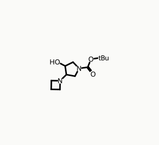 CC(C)(C)OC(=O)N1CC(O)C(N2CCC2)C1